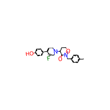 Cc1ccc(CN2OCCC(N3CC=C(c4ccc(O)cc4)[C@H](F)C3)C2=O)cc1